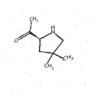 CC(=O)[C@@H]1CC(C)(C)CN1